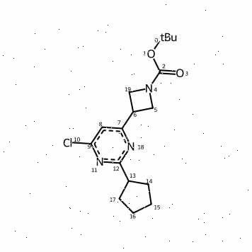 CC(C)(C)OC(=O)N1CC(c2cc(Cl)nc(C3CCCC3)n2)C1